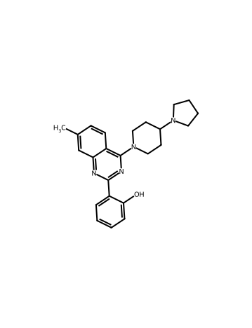 Cc1ccc2c(N3CCC(N4CCCC4)CC3)nc(-c3ccccc3O)nc2c1